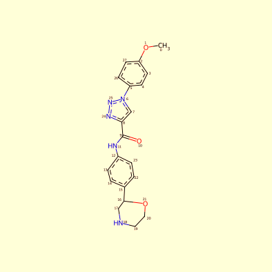 COc1ccc(-n2cc(C(=O)Nc3ccc(C4CNCCO4)cc3)nn2)cc1